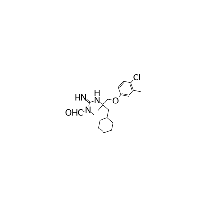 Cc1cc(OCC(C)(CC2CCCCC2)NC(=N)N(C)C=O)ccc1Cl